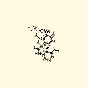 C=Cc1cncc(NC(=C)C(C=C)(CCCCN)c2ccc(F)c(OC)c2)c1